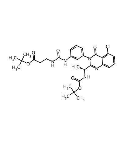 C[C@H](NC(=O)OC(C)(C)C)c1nc2cccc(Cl)c2c(=O)n1-c1cccc(NC(=O)NCCC(=O)OC(C)(C)C)c1